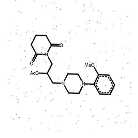 COc1ccccc1N1CCN(CC(CN2C(=O)CCCC2=O)OC(C)=O)CC1